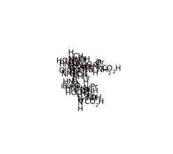 CC[C@H](C)[C@H](NC(=O)CNC(=O)[C@H](C)NC(=O)[C@H](CO)NC(=O)[C@H](CCC(N)=O)NC(=O)[C@H](CO)NC(=O)[C@H](C)NC(=O)[C@H](CO)NC(=O)[C@H](C)NC(=O)[C@@H]1CCCN1C(=O)[C@H](CC(C)C)NC(=O)[C@@H](N)CC(=O)O)C(=O)N[C@H](C(=O)NCC(=O)N[C@H](C(=O)N[C@@H](CO)C(=O)N[C@@H](Cc1c[nH]cn1)C(=O)O)C(C)C)[C@@H](C)O